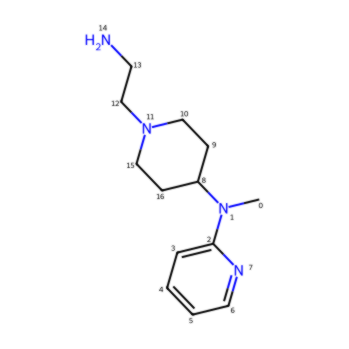 CN(c1ccccn1)C1CCN(CCN)CC1